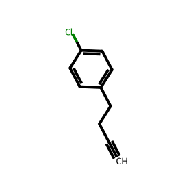 C#CCCc1ccc(Cl)cc1